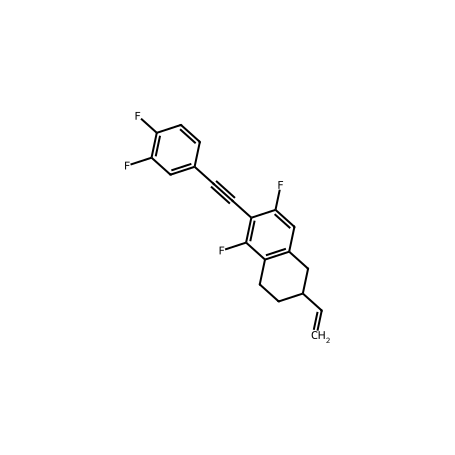 C=CC1CCc2c(cc(F)c(C#Cc3ccc(F)c(F)c3)c2F)C1